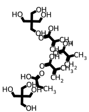 C=C(C)C(=O)O.C=C(C)C(=O)O.C=C(C)C(=O)O.CCC(=O)O.OCC(CO)(CO)CO.OCC(CO)(CO)CO